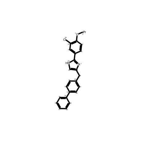 CC(C)Oc1ccc(-c2nc(Cc3ccc(-c4ccccc4)cc3)c[nH]2)cc1Cl